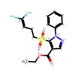 CCOC(=O)c1cnn(-c2ccccc2)c1S(=O)(=O)CCC=C(F)F